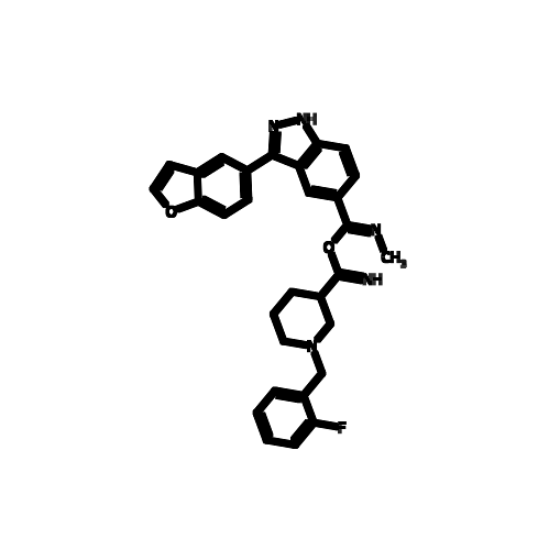 C/N=C(\OC(=N)C1CCCN(Cc2ccccc2F)C1)c1ccc2[nH]nc(-c3ccc4occc4c3)c2c1